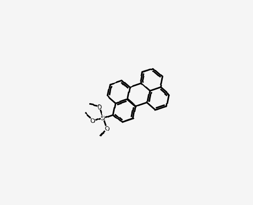 CO[Si](OC)(OC)c1ccc2c3cccc4cccc(c5cccc1c52)c43